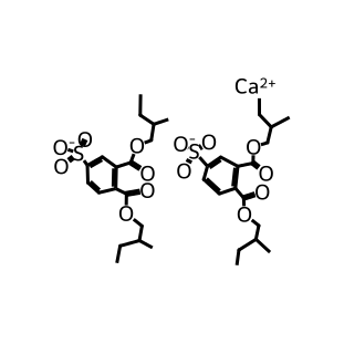 CCC(C)COC(=O)c1ccc(S(=O)(=O)[O-])cc1C(=O)OCC(C)CC.CCC(C)COC(=O)c1ccc(S(=O)(=O)[O-])cc1C(=O)OCC(C)CC.[Ca+2]